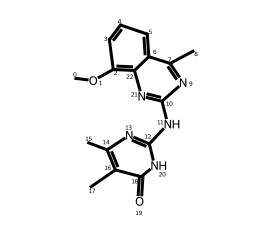 COc1cccc2c(C)nc(Nc3nc(C)c(C)c(=O)[nH]3)nc12